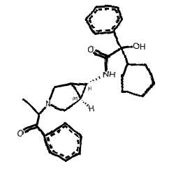 CC(C(=O)c1ccccc1)N1CC2[C@H](C1)[C@H]2NC(=O)C(O)(c1ccccc1)C1CCCCC1